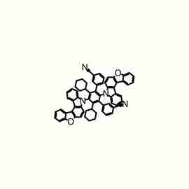 N#Cc1cccc(-c2c(C3CCCCC3)c(-n3c4ccccc4c4c5c(ccc43)oc3ccccc35)c(C3CCCCC3)c(-c3cccc(C#N)c3)c2-n2c3ccccc3c3c4c(ccc32)oc2ccccc24)c1